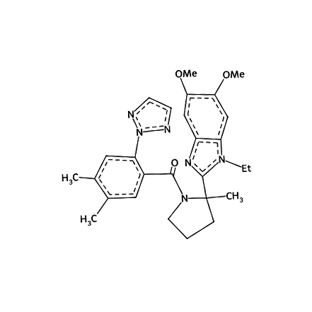 CCn1c(C2(C)CCCN2C(=O)c2cc(C)c(C)cc2-n2nccn2)nc2cc(OC)c(OC)cc21